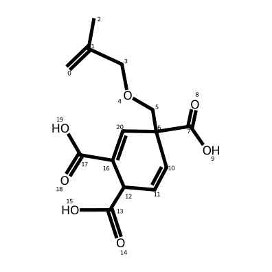 C=C(C)COCC1(C(=O)O)C=CC(C(=O)O)C(C(=O)O)=C1